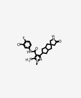 Cn1nc(C2CC3CC4(CNC(=O)C4)CC3C2)c(C(=O)Nc2ccc(F)c(Cl)c2)c1N